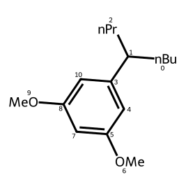 CCCCC(CCC)c1cc(OC)cc(OC)c1